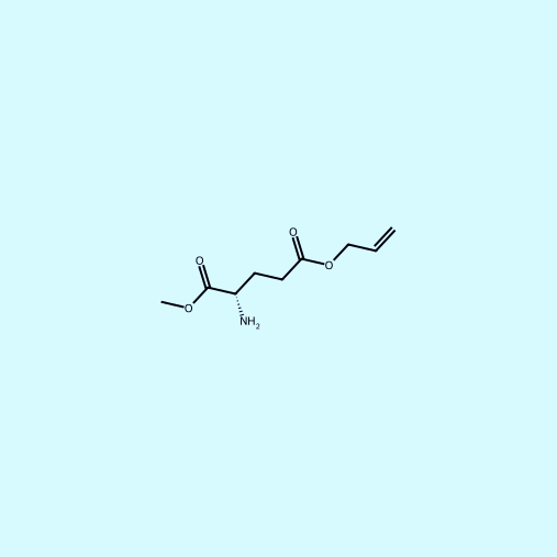 C=CCOC(=O)CC[C@H](N)C(=O)OC